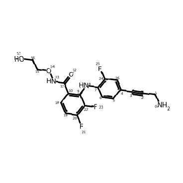 NCC#Cc1ccc(Nc2c(C(=O)NOCCO)ccc(F)c2F)c(F)c1